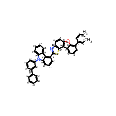 C/C=C\C(=C/C)c1cccc2c1oc1ccc3nc(-c4cccc5c4c4ccccc4n5-c4cccc(-c5ccccc5)c4)sc3c12